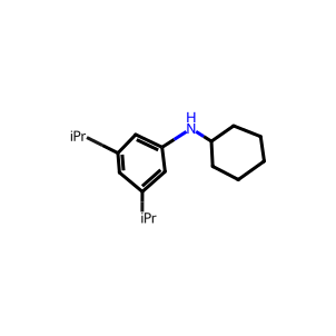 CC(C)c1cc(NC2CCCCC2)cc(C(C)C)c1